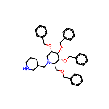 c1ccc(COC[C@H]2[C@@H](OCc3ccccc3)[C@H](OCc3ccccc3)[C@@H](OCc3ccccc3)CN2C[C@@H]2CCCNC2)cc1